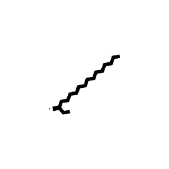 [CH]=C(CC)CCCCCCCCCCCCCC